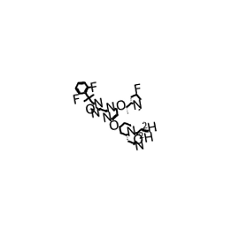 [2H]C([2H])=CC(=O)N1CC[C@H](Oc2cc(O[C@@H](C)[C@@H]3C[C@@H](F)CN3C)nc(-c3noc(C(C)(C)c4c(F)cccc4F)n3)n2)C[C@H]1CC#N